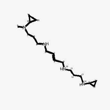 CN(CCCNCC=CCNCCCNC1CC1)C1CC1